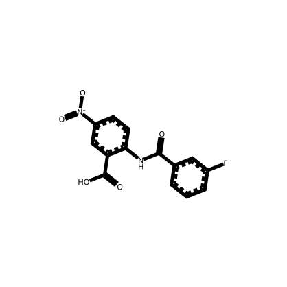 O=C(Nc1ccc([N+](=O)[O-])cc1C(=O)O)c1cccc(F)c1